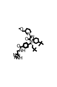 COCC1CCCN(C2=NC3(CCC(C(C)(C)C)CC3)N([C@H](CCC(C)(C)C)c3ccc(C(=O)NCc4nn[nH]n4)cc3)C2=O)C1